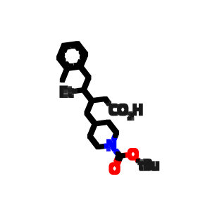 CCC(Cc1ccccc1C)C(CC(=O)O)CC1CCN(C(=O)OC(C)(C)C)CC1